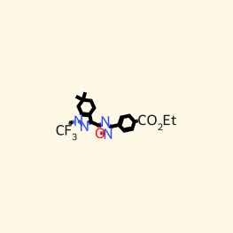 CCOC(=O)C1C=CC(c2noc(-c3nn(CC(F)(F)F)c4c3CCC(C)(C)C4)n2)=CC1